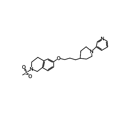 CS(=O)(=O)N1CCc2cc(OCCCC3CCN(c4cccnc4)CC3)ccc2C1